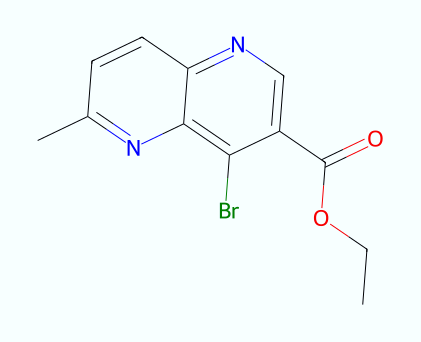 CCOC(=O)c1cnc2ccc(C)nc2c1Br